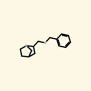 c1ccc(COCC2CC3CCN2C3)cc1